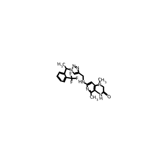 Cc1nc(NCc2cn(C(C)c3ccccc3C(F)(F)F)nn2)cc2c1NC(=O)CN2C